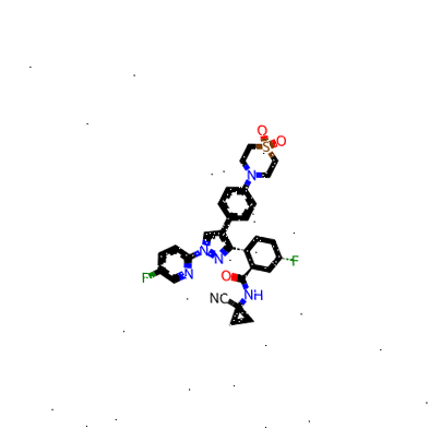 N#CC1(NC(=O)[C@@H]2C[C@@H](F)CC[C@H]2c2nn(-c3ccc(F)cn3)cc2-c2ccc(N3CCS(=O)(=O)CC3)cc2)CC1